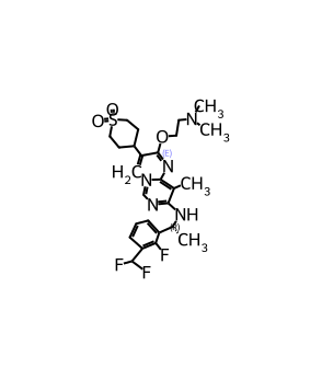 C=C(/C(=N\c1ncnc(N[C@H](C)c2cccc(C(F)F)c2F)c1C)OCCN(C)C)C1CCS(=O)(=O)CC1